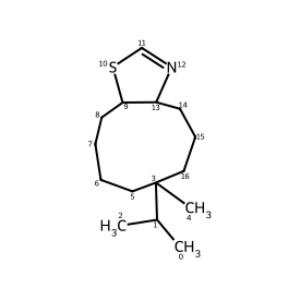 CC(C)C1(C)CCCCC2SC=NC2CCC1